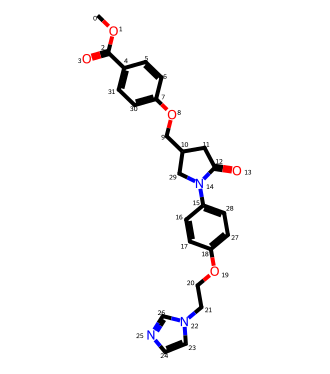 COC(=O)c1ccc(OCC2CC(=O)N(c3ccc(OCCn4ccnc4)cc3)C2)cc1